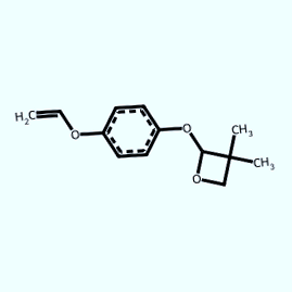 C=COc1ccc(OC2OCC2(C)C)cc1